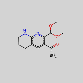 BC(=O)c1cc2c(nc1C(OC)OC)NCCC2